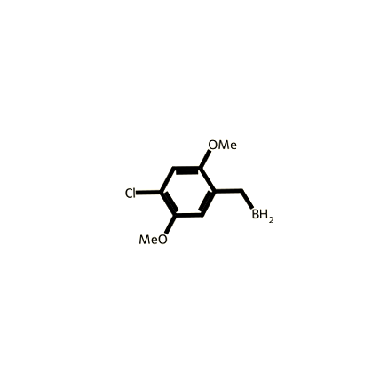 BCc1cc(OC)c(Cl)cc1OC